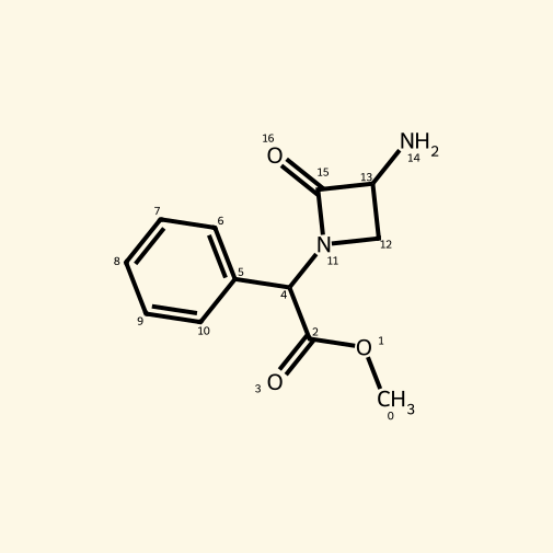 COC(=O)C(c1ccccc1)N1CC(N)C1=O